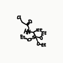 CCO[Si](OCC)(OCC)C(CC)NC(=O)CCl